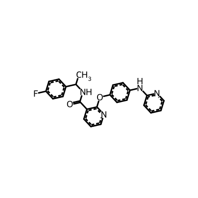 CC(NC(=O)c1cccnc1Oc1ccc(Nc2ccccn2)cc1)c1ccc(F)cc1